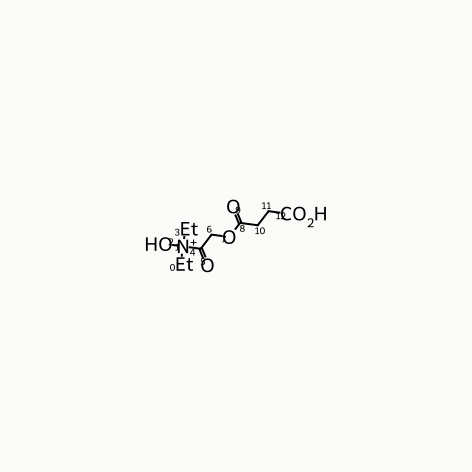 CC[N+](O)(CC)C(=O)COC(=O)CCC(=O)O